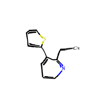 N#CCc1ncccc1-c1cccs1